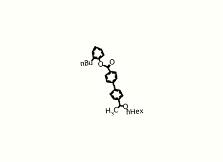 CCCCCCOC(C)c1ccc(-c2ccc(C(=O)Oc3ccccc3CCCC)cc2)cc1